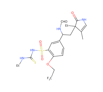 CCNC(=S)NS(=O)(=O)c1cc(C(CC2(CC)C(=O)NC=C2C)NC=O)ccc1OCC(F)(F)F